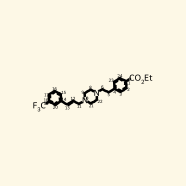 CCOC(=O)c1ccc(CCN2CCN(CC=Cc3cccc(C(F)(F)F)c3)CC2)cc1